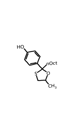 CCCCCCCCC1(c2ccc(O)cc2)OC(C)CS1